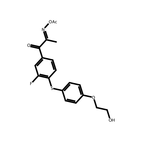 CC(=O)O/N=C(\C)C(=O)c1ccc(Sc2ccc(OCCO)cc2)c(F)c1